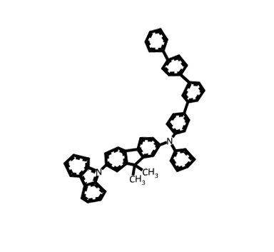 CC1(C)c2cc(N(c3ccccc3)c3ccc(-c4cccc(-c5ccc(-c6ccccc6)cc5)c4)cc3)ccc2-c2ccc(-n3c4ccccc4c4ccccc43)cc21